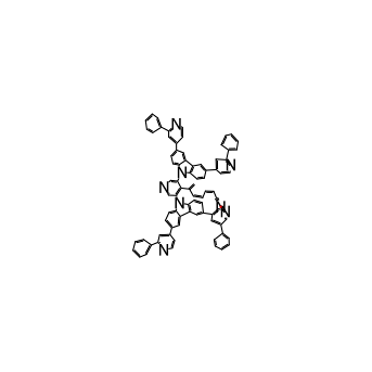 C=C(/C=C\C=C/C#N)c1c(-n2c3ccc(-c4cncc(-c5ccccc5)c4)cc3c3cc(-c4ccnc(-c5ccccc5)c4)ccc32)cncc1-n1c2ccc(-c3ccnc(-c4ccccc4)c3)cc2c2cc(-c3ccnc(-c4ccccc4)c3)ccc21